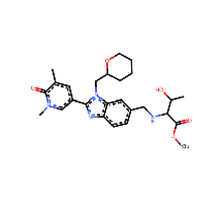 Cc1cc(-c2nc3ccc(CNC(C(=O)OC(C)(C)C)C(C)O)cc3n2CC2CCCCO2)cn(C)c1=O